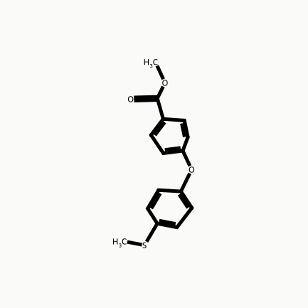 COC(=O)c1ccc(Oc2ccc(SC)cc2)cc1